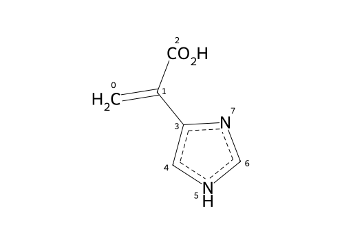 C=C(C(=O)O)c1c[nH]cn1